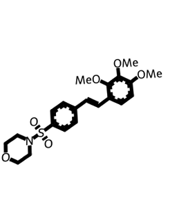 COc1ccc(C=Cc2ccc(S(=O)(=O)N3CCOCC3)cc2)c(OC)c1OC